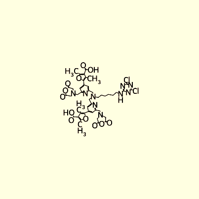 Cc1oc(-c2cc(CN3CC(=O)OC(=O)C3)nc(CN(CCCCCCNc3nc(Cl)nc(Cl)n3)Cc3cc(-c4oc(C)c(C(=O)O)c4C)cc(CN4CC(=O)OC(=O)C4)n3)c2)c(C)c1C(=O)O